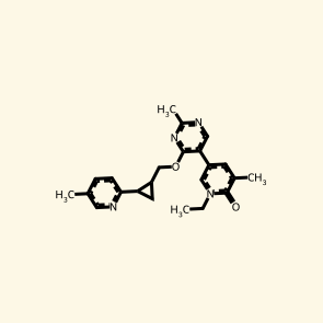 CCn1cc(-c2cnc(C)nc2OCC2CC2c2ccc(C)cn2)cc(C)c1=O